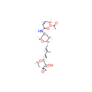 CC(=O)O[C@@H](C)/C=C\C(=O)N[C@@H]1C[C@H](C)[C@H](C/C=C(C)/C=C/[C@H]2O[C@@H](C)C[C@@]3(CO3)[C@@H]2O)O[C@@H]1C